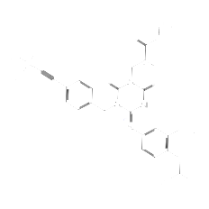 COC(=O)[C@@H](C)Cn1c(=O)[nH]/c(=N\c2ccc(OC(C)C)c(C)c2)n(Cc2ccc(C#C[Si](C)(C)C)cc2)c1=O